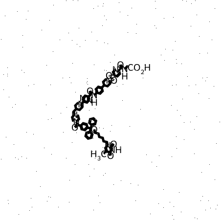 Cc1cn(CCCCCCOC(c2ccccc2)(c2ccccc2)c2ccc(C(=O)N3CCN(CC4CCN(c5cnc(C(=O)Nc6ccc(C7CCN(S(=O)(=O)c8ccc(C(=O)NCC(=O)O)nc8)CC7)cc6)cn5)CC4)CC3)cc2)c(=O)[nH]c1=O